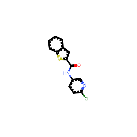 O=C(Nc1ccc(Cl)nc1)c1cc2ccccc2s1